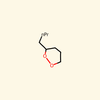 CCCCC1CCCOO1